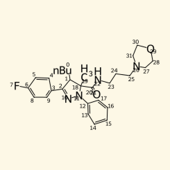 CCCCC1C(c2ccc(F)cc2)=NN(c2ccccc2)C1(C)C(=O)NCCCN1CCOCC1